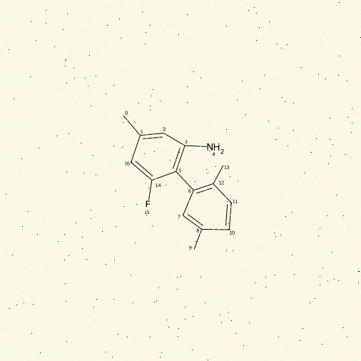 Cc1cc(N)c(-c2cc(C)ccc2C)c(F)c1